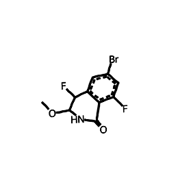 COC1NC(=O)c2c(F)cc(Br)cc2C1F